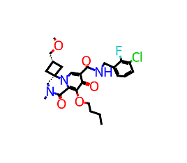 CCCCOc1c2n(cc(C(=O)NCc3cccc(Cl)c3F)c1=O)[C@]1(CN(C)C2=O)C[C@@H](COC)C1